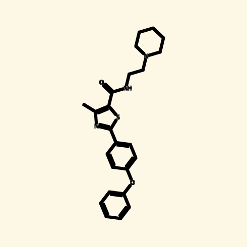 Cc1nc(-c2ccc(Oc3ccccc3)cc2)sc1C(=O)NCCN1CCCCC1